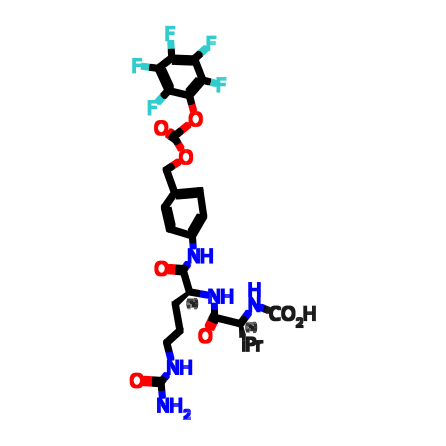 CC(C)[C@H](NC(=O)O)C(=O)N[C@@H](CCCNC(N)=O)C(=O)Nc1ccc(COC(=O)Oc2c(F)c(F)c(F)c(F)c2F)cc1